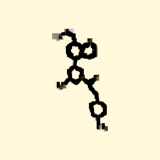 C/N=C\c1ccc(C2CC(C)CN(C(=O)CCC3CCN(C)CC3)C2)c2cccnc12